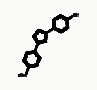 CCCCCCc1ccc(-c2ccc(-c3ccc(O)cc3)s2)cc1